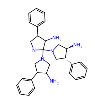 NC1CN(C2(N3C[C@@H](N)[C@H](c4ccccc4)C3)[N]CC(c3ccccc3)C2N)CC1c1ccccc1